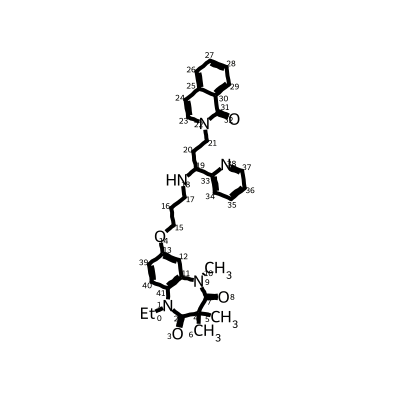 CCN1C(=O)C(C)(C)C(=O)N(C)c2cc(OCCCNC(CCn3ccc4ccccc4c3=O)c3ccccn3)ccc21